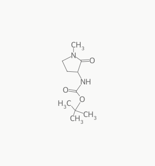 CN1CCC(NC(=O)OC(C)(C)C)C1=O